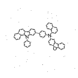 c1ccc(-n2c3cc(-c4ccc(N(c5ccc6oc7ccccc7c6c5)c5cccc6ccccc56)cc4)ccc3c3ccc4ccccc4c32)cc1